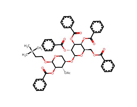 CC(=O)O[C@@H]1[C@@H](OC(=O)c2ccccc2)[C@@H](OCC[Si](C)(C)C)OC[C@H]1O[C@@H]1O[C@H](COC(=O)c2ccccc2)[C@H](OC(=O)c2ccccc2)[C@H](OC(=O)c2ccccc2)[C@H]1OC(=O)c1ccccc1